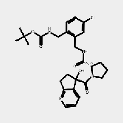 CC(C)(C)OC(=O)NCc1ccc(Cl)cc1CNC(=O)[C@@H]1CCCN1C(=O)C1(O)CCc2ncccc21